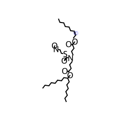 CCCCCC/C=C\COC(=O)CCCN(CCCC(=O)OC(CCCCCCC)CCCCCCCC)C(=O)SCCN=O